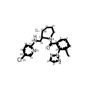 Cc1cccc(C(=O)N2CCC[C@@H](C)C2CNc2ccc(Cl)cn2)c1-n1nccn1